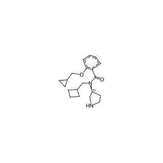 O=C(c1ccccc1OCC1CC1)N(CC1CCC1)[C@H]1CCNC1